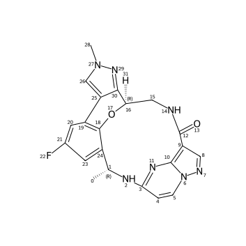 C[C@H]1Nc2ccn3ncc(c3n2)C(=O)NC[C@H]2Oc3c(cc(F)cc31)-c1cn(C)nc12